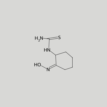 NC(=S)NC1CCCC/C1=N/O